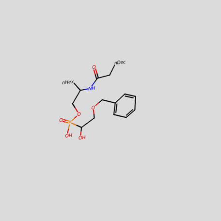 CCCCCCCCCCCC(=O)NC(CCCCCC)COP(=O)(O)C(O)COCc1ccccc1